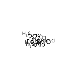 COC1=NC(NC(=O)c2ccc(Cl)cc2Cl)=C(C(=O)[O-])[N+]1(c1cccc(OC)c1)C(C)(C)C